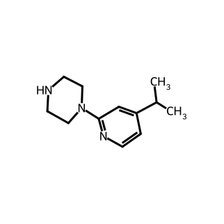 CC(C)c1ccnc(N2CCNCC2)c1